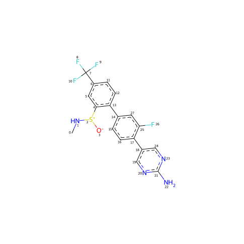 CN[S+]([O-])c1cc(C(F)(F)F)ccc1-c1ccc(-c2cnc(N)nc2)c(F)c1